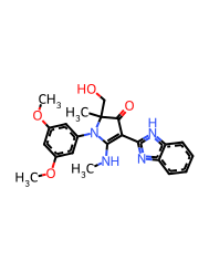 CNC1=C(c2nc3ccccc3[nH]2)C(=O)C(C)(CO)N1c1cc(OC)cc(OC)c1